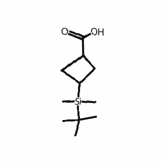 CC(C)(C)[Si](C)(C)C1CC(C(=O)O)C1